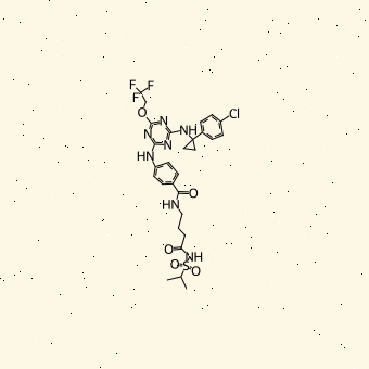 CC(C)S(=O)(=O)NC(=O)CCCNC(=O)c1ccc(Nc2nc(NC3(c4ccc(Cl)cc4)CC3)nc(OCC(F)(F)F)n2)cc1